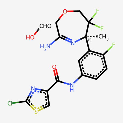 C[C@]1(c2cc(NC(=O)c3csc(Cl)n3)ccc2F)N=C(N)COCC1(F)F.O=CO